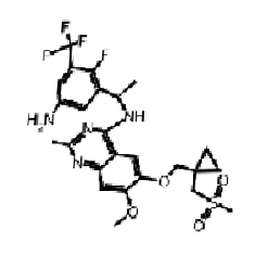 COc1cc2nc(C)nc(N[C@H](C)c3cc(N)cc(C(F)(F)F)c3F)c2cc1OCC1(CS(C)(=O)=O)CC1